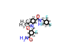 CC1(C)C(=O)N(Cc2ccc(C(N)=O)cc2F)c2cc(C(=O)NCc3c(F)cc(F)cc3F)ccc21